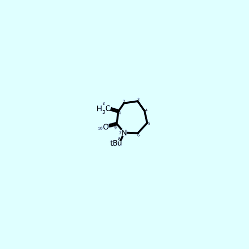 C=C1CCCCCN(C(C)(C)C)C1=O